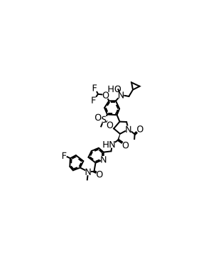 CC(=O)N1CC(c2cc(N(O)CC3CC3)c(OC(F)F)cc2S(C)(=O)=O)C[C@@H]1C(=O)NCc1cccc(C(=O)N(C)c2ccc(F)cc2)n1